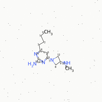 CCCCc1cc(N2CC(NC)C2)nc(N)n1